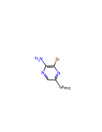 CCCCCc1cnc(N)c(Br)n1